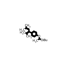 CC(C)=CC(=C(C)C)c1ccc(OC(C)OCC(C)C)cc1